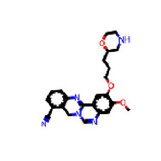 COc1cc2c(cc1OCCCC1CNCCO1)C1=Nc3cccc(C#N)c3CN1C=N2